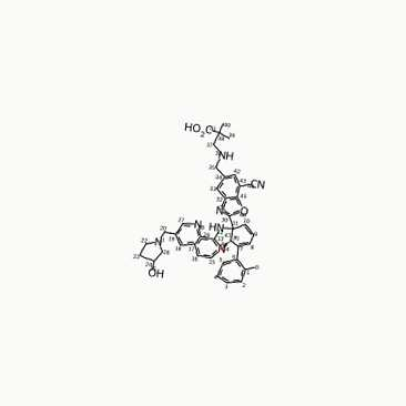 Cc1ccccc1C1=CC=CC(Nc2nccc3cc(CN4CCC(O)C4)cnc23)(c2nc3cc(CNCC(C)(C)C(=O)O)cc(C#N)c3o2)[C@@H]1C